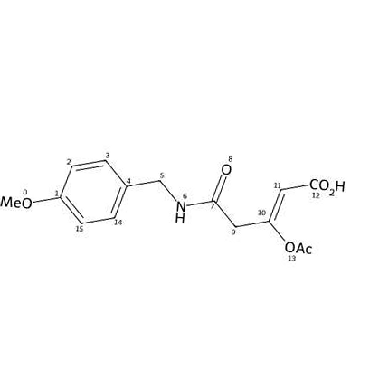 COc1ccc(CNC(=O)CC(=CC(=O)O)OC(C)=O)cc1